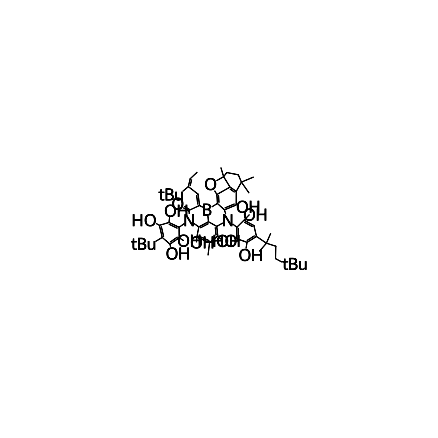 C/C=C(\C=C1\B2c3c4c5c(c(O)c3N(c3c(O)cc(C(C)(C)CCC(C)(C)C)c(O)c3O)c3c(O)c(C)c(O)c(c32)N(c2c(O)c(O)c(C(C)(C)C)c(O)c2O)C1=O)C(C)(C)CCC5(C)O4)C(C)(C)C